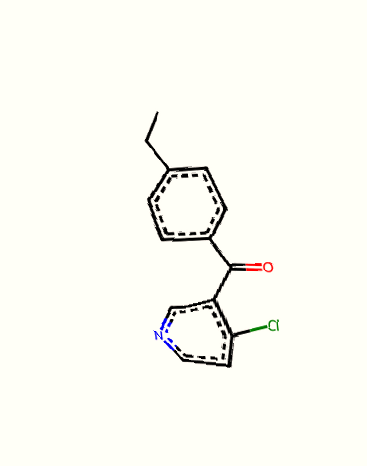 CCc1ccc(C(=O)c2cnccc2Cl)cc1